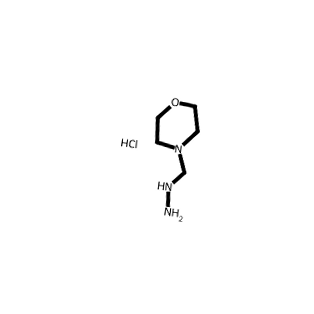 Cl.NNCN1CCOCC1